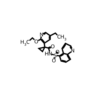 CCOc1ncc(CC)cc1C1(C(=O)NS(=O)(=O)c2cccc3ncccc23)CC1